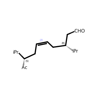 CC(=O)[C@@H](C/C=C\C[C@H](CC=O)C(C)C)C(C)C